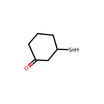 O=C1CCC[CH]([SnH])C1